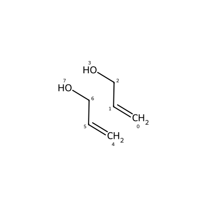 C=CCO.C=CCO